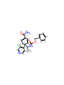 CC(NC(=O)OCc1ccccc1)C1(c2ccncc2)C=CC(C(N)=O)=C[C@H]1Cl